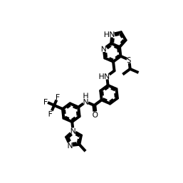 Cc1cn(-c2cc(NC(=O)c3cccc(NCc4cnc5[nH]ccc5c4SC(C)C)c3)cc(C(F)(F)F)c2)cn1